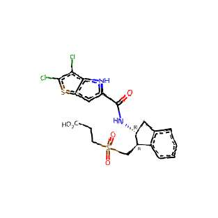 O=C(O)CCS(=O)(=O)C[C@@H]1c2ccccc2C[C@H]1NC(=O)c1cc2sc(Cl)c(Cl)c2[nH]1